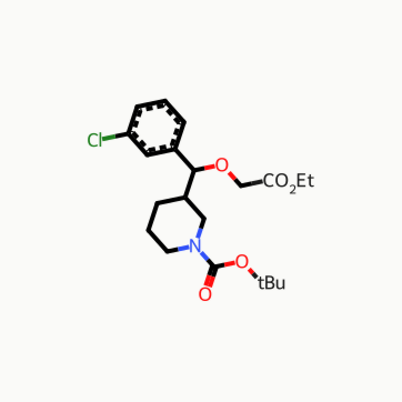 CCOC(=O)COC(c1cccc(Cl)c1)C1CCCN(C(=O)OC(C)(C)C)C1